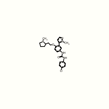 CN1CCCC1CCOc1ccc(NC(=O)Nc2ccc(Cl)cc2)cc1-c1ccnn1C